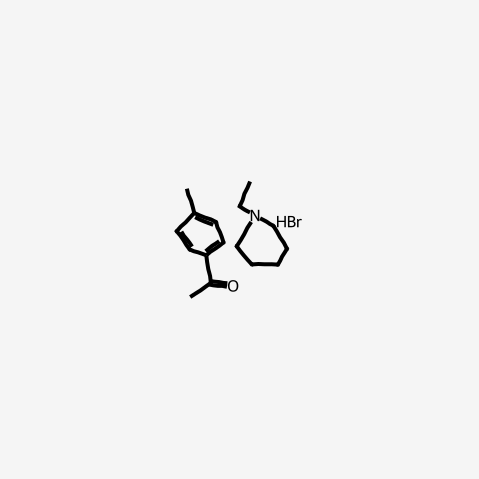 Br.CC(=O)c1ccc(C)cc1.CCN1CCCCC1